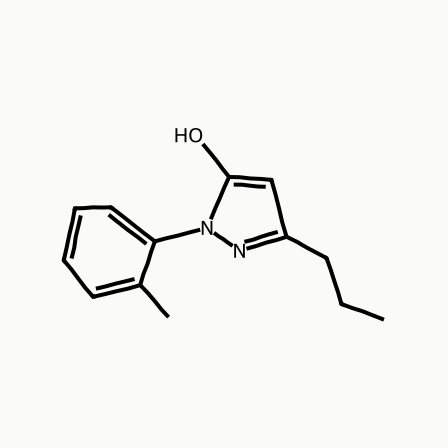 CCCc1cc(O)n(-c2ccccc2C)n1